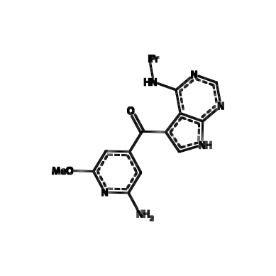 COc1cc(C(=O)c2c[nH]c3ncnc(NC(C)C)c23)cc(N)n1